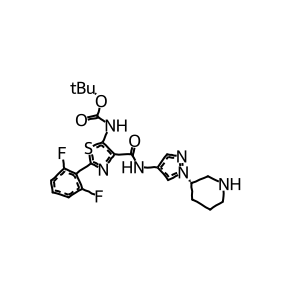 CC(C)(C)OC(=O)Nc1sc(-c2c(F)cccc2F)nc1C(=O)Nc1cnn([C@H]2CCCNC2)c1